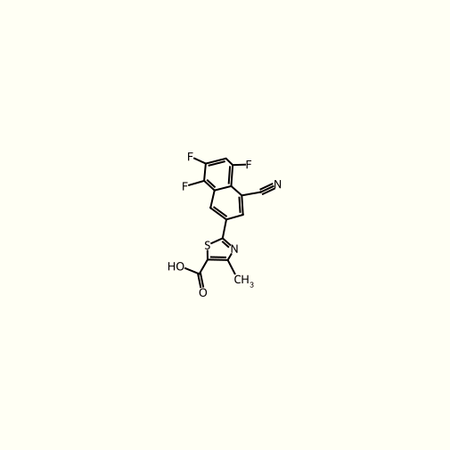 Cc1nc(-c2cc(C#N)c3c(F)cc(F)c(F)c3c2)sc1C(=O)O